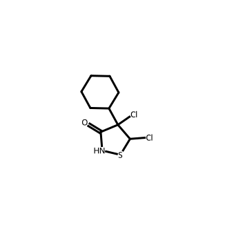 O=C1NSC(Cl)C1(Cl)C1CCCCC1